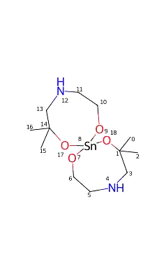 CC1(C)CNCC[O][Sn]2([O]CCNCC(C)(C)[O]2)[O]1